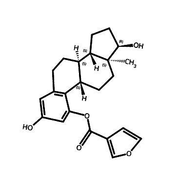 C[C@]12CC[C@@H]3c4c(cc(O)cc4OC(=O)c4ccoc4)CC[C@H]3[C@@H]1CC[C@H]2O